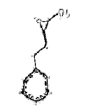 CC1OC1CCc1cc[c]cc1